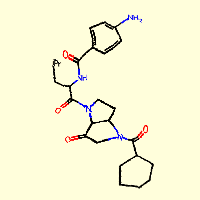 CC(C)CC(NC(=O)c1ccc(N)cc1)C(=O)N1CCC2C1C(=O)CN2C(=O)C1CCCCC1